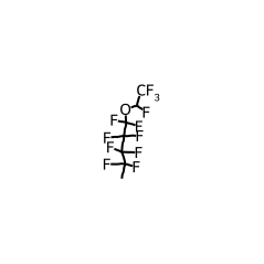 CC(F)(F)C(F)(F)C(F)(F)C(F)(F)OC(F)C(F)(F)F